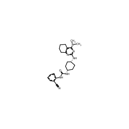 CN(C)c1nc(N[C@H]2CC[C@@H](NC(=O)Nc3ccccc3C#N)CC2)nc2c1CCCC2